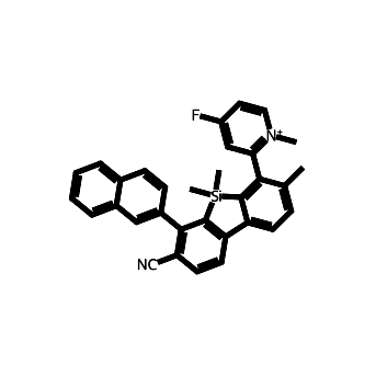 Cc1ccc2c(c1-c1cc(F)cc[n+]1C)[Si](C)(C)c1c-2ccc(C#N)c1-c1ccc2ccccc2c1